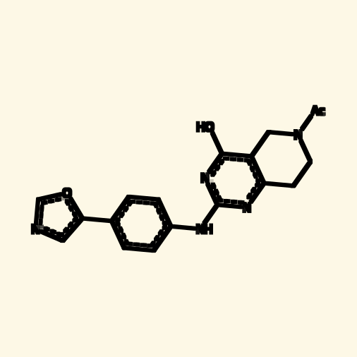 CC(=O)N1CCc2nc(Nc3ccc(-c4cnco4)cc3)nc(O)c2C1